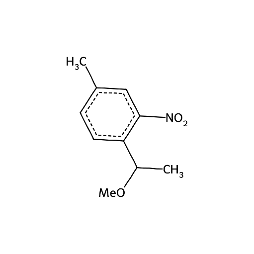 COC(C)c1ccc(C)cc1[N+](=O)[O-]